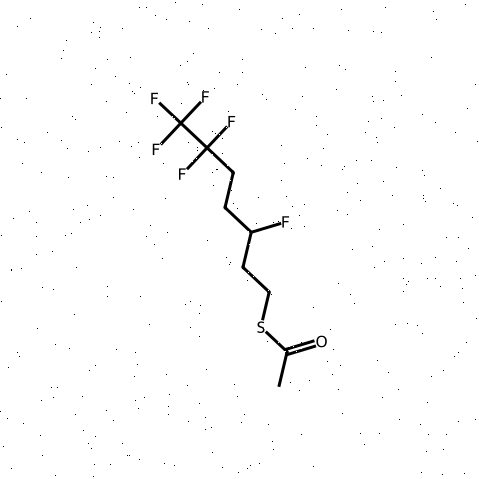 CC(=O)SCCC(F)CCC(F)(F)C(F)(F)F